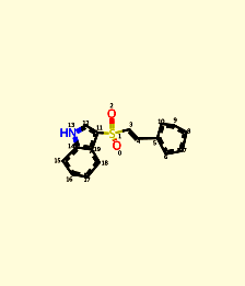 O=S(=O)(C=Cc1ccccc1)c1c[nH]c2ccccc12